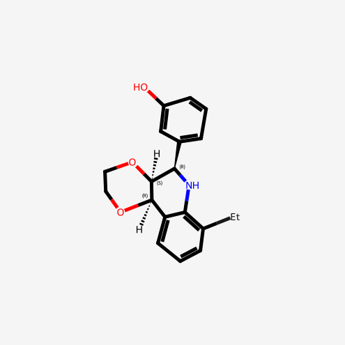 CCc1cccc2c1N[C@H](c1cccc(O)c1)[C@@H]1OCCO[C@H]21